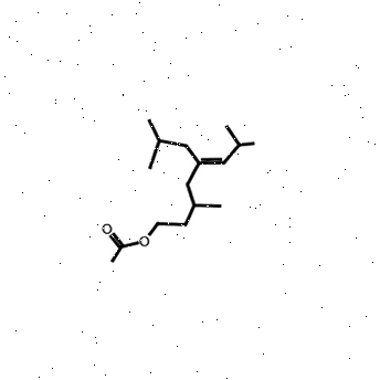 CC(=O)OCCC(C)CC(=CC(C)C)CC(C)C